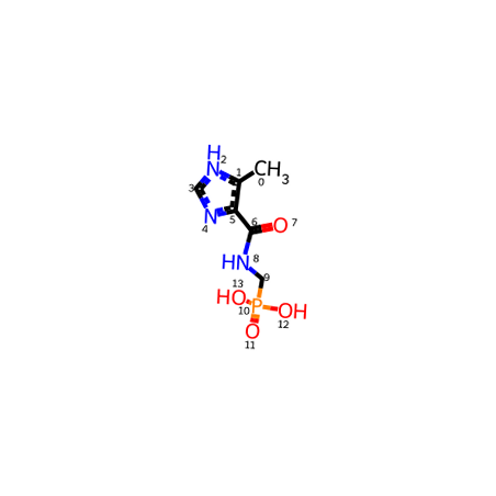 Cc1[nH]cnc1C(=O)NCP(=O)(O)O